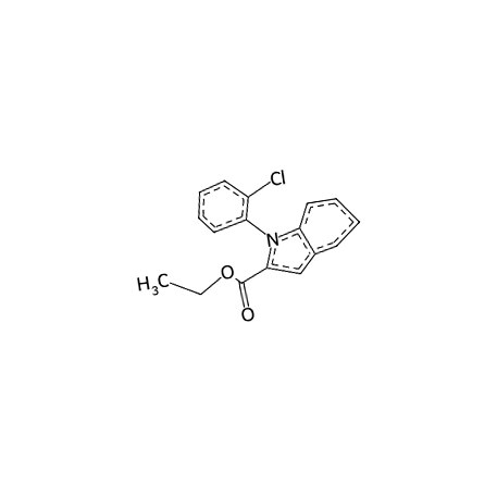 CCOC(=O)c1cc2ccccc2n1-c1ccccc1Cl